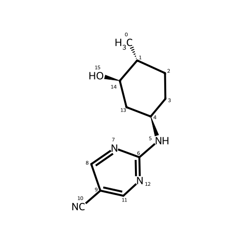 C[C@@H]1CC[C@@H](Nc2ncc(C#N)cn2)C[C@H]1O